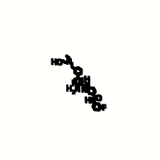 CCN(CCO)CCc1cccc(-c2cnc(N)c(-c3nc4cc(C(=O)Nc5cccc(F)c5)ccc4[nH]3)n2)c1